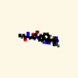 CC(=O)NCC1CN(c2ccc3c(c2)CCCc2c(-c4snnc4C)n[nH]c2-3)C(=O)O1